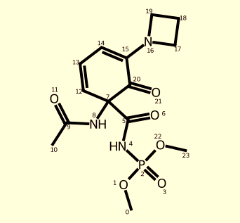 COP(=O)(NC(=O)C1(NC(C)=O)C=CC=C(N2CCC2)C1=O)OC